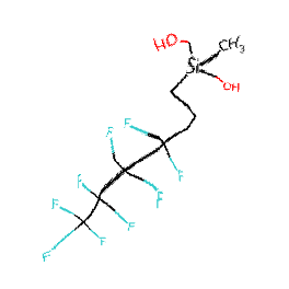 C[Si](O)(O)CCC(F)(F)C(F)(F)C(F)(F)C(F)(F)F